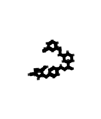 CC(COc1ccc(CC2SC(=O)NC2=O)cc1)N1CCOC(COc2cccc(Cl)c2)C1